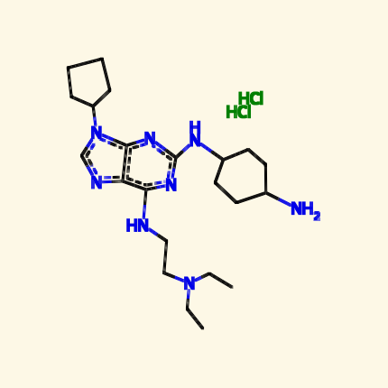 CCN(CC)CCNc1nc(NC2CCC(N)CC2)nc2c1ncn2C1CCCC1.Cl.Cl